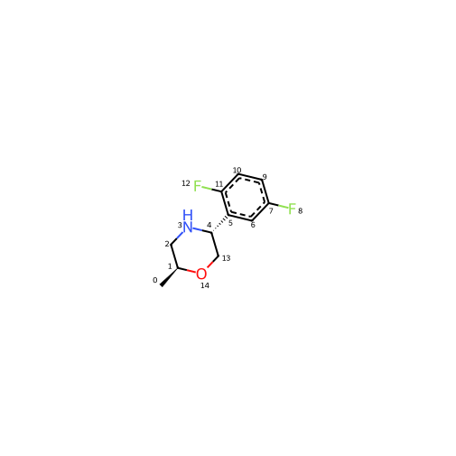 C[C@H]1CN[C@H](c2cc(F)ccc2F)CO1